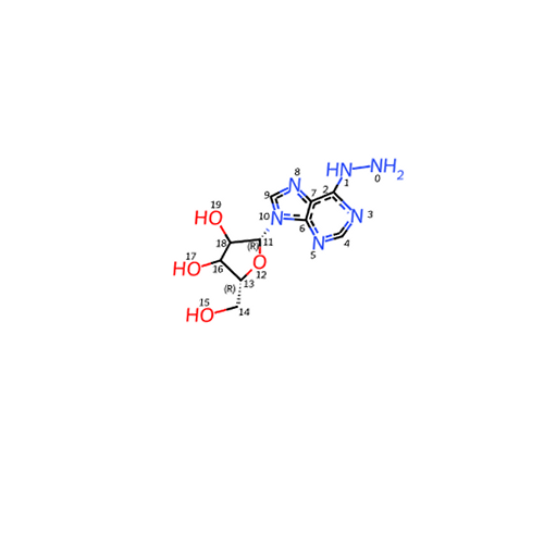 NNc1ncnc2c1ncn2[C@@H]1O[C@H](CO)C(O)C1O